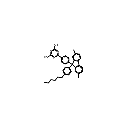 CCCCCCc1ccc(C2(c3ccc(-c4nc(S)nc(S)n4)cc3)c3cc(C)ccc3-c3ccc(C)cc32)cc1